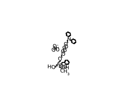 CC(O)C[N+](CCO)(CCOCCOOOOOOCCN(c1ccccc1)c1ccccc1)CCc1ccccc1O.O=[N+]([O-])[O-]